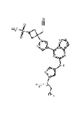 CC[C@H](C)n1cc(Nc2nc(-c3cnn(C4(CC#N)CN(S(C)(=O)=O)C4)c3)c3sccc3n2)cn1